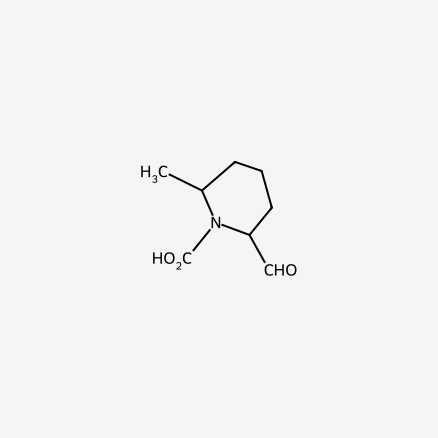 CC1CCCC(C=O)N1C(=O)O